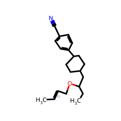 C/C=C/COC(CC)CC1CCC(c2ccc(C#N)cc2)CC1